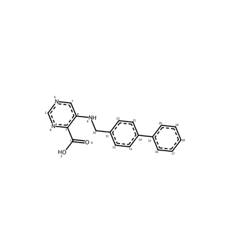 O=C(O)c1ncncc1NCc1ccc(-c2ccccc2)cc1